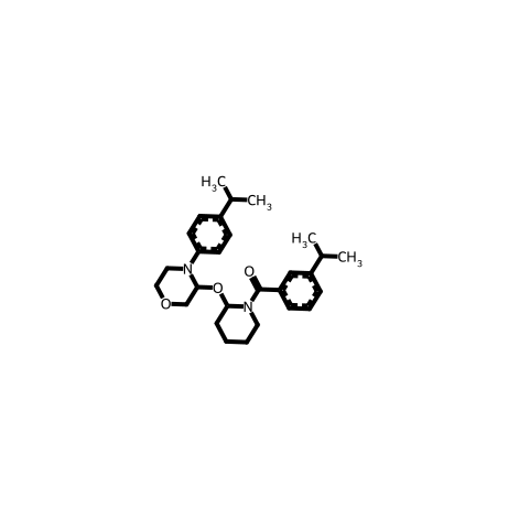 CC(C)c1ccc(N2CCOCC2OC2CCCCN2C(=O)c2cccc(C(C)C)c2)cc1